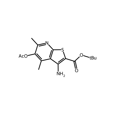 CC(=O)Oc1c(C)nc2sc(C(=O)OC(C)(C)C)c(N)c2c1C